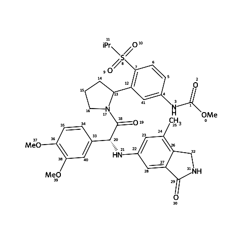 COC(=O)Nc1ccc(S(=O)(=O)C(C)C)c(C2CCCN2C(=O)[C@H](Nc2cc(C)c3c(c2)C(=O)NC3)c2ccc(OC)c(OC)c2)c1